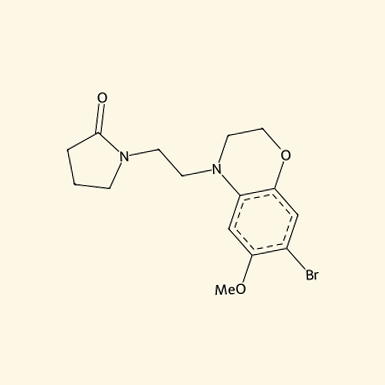 COc1cc2c(cc1Br)OCCN2CCN1CCCC1=O